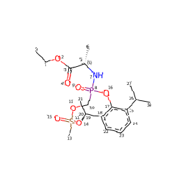 CCOC(=O)[C@H](C)NP(=O)(COS(C)(=O)=O)Oc1c(C(C)C)cccc1C(C)C